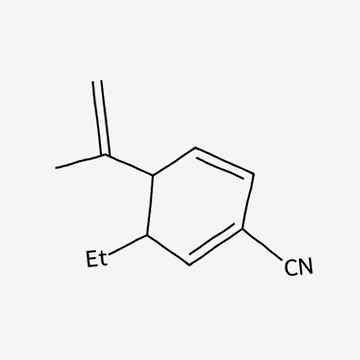 C=C(C)C1C=CC(C#N)=CC1CC